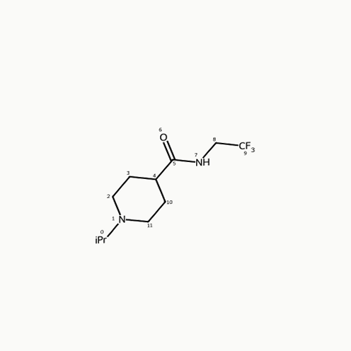 CC(C)N1CCC(C(=O)NCC(F)(F)F)CC1